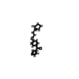 O=C(c1ccc(OCCN2CCCC2)nc1)c1ccsc1